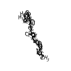 CCc1ccnc(N2CCOC3(CCN(Cc4cccc(CCOCCC(=O)N(CC(OC)OC)C5CCCC5)c4Cl)CC3)C2)c1